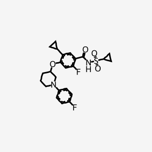 O=C(NS(=O)(=O)C1CC1)c1cc(C2CC2)c(OC2CCCN(c3ccc(F)cc3)C2)cc1F